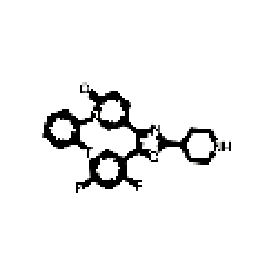 O=c1ccc(-c2nc(C3CCNCC3)oc2-c2ccc(F)cc2F)cn1-c1ccccc1F